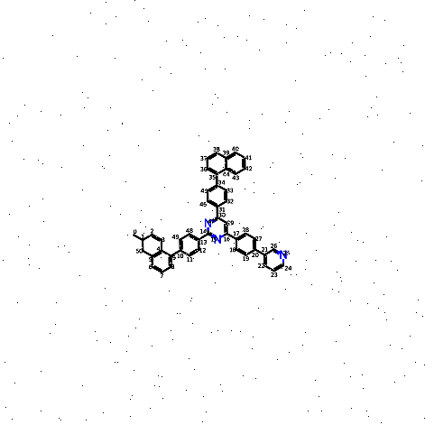 CC1C=Cc2c(cccc2-c2ccc(-c3nc(-c4ccc(-c5cccnc5)cc4)cc(-c4ccc(-c5cccc6ccccc56)cc4)n3)cc2)C1